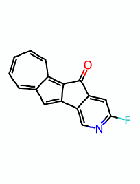 O=C1c2cc(F)ncc2-c2cc3cccccc-3c21